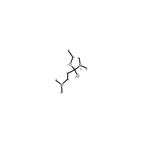 CCOC([O])(CCN(C)C)N(C)C